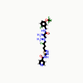 N/C(=C\N(N)CC(F)CCc1nnc(NC(=O)c2ccncc2)s1)C(=O)NCc1cc(OC(F)(F)F)ccc1F